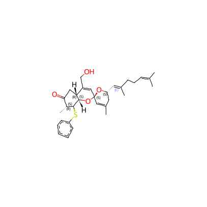 CC(C)=CCC/C(C)=C/[C@@H]1CC(C)=C[C@]2(C=C(CO)[C@H]3CC(=O)[C@@H](C)[C@H](Sc4ccccc4)[C@H]3O2)O1